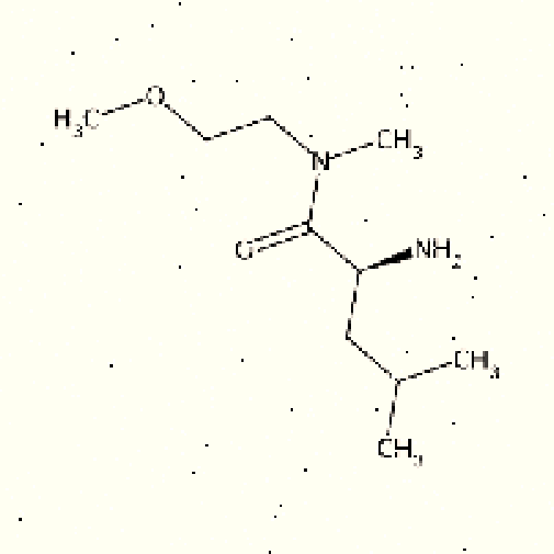 COCCN(C)C(=O)[C@@H](N)CC(C)C